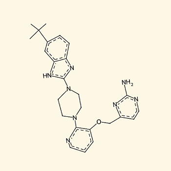 CC(C)(C)c1ccc2nc(N3CCN(c4ncccc4OCc4ccnc(N)n4)CC3)[nH]c2c1